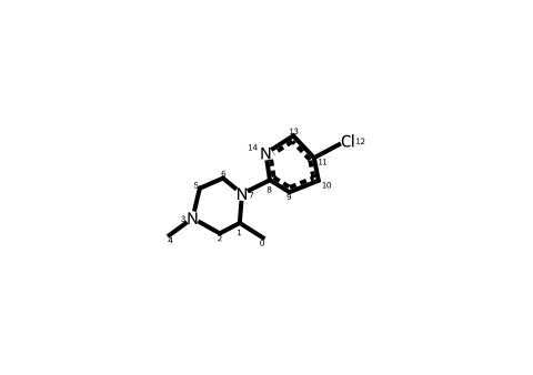 CC1CN(C)CCN1c1ccc(Cl)cn1